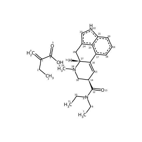 C=C(CC)C(=O)O.CCN(CC)C(=O)[C@@H]1C=C2c3cccc4[nH]cc(c34)C[C@H]2N(C)C1